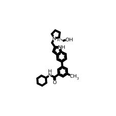 Cc1cc(C(=O)NC2CCCCC2)cc(-c2ccc3[nH]c(CN4CCC[C@@H]4CO)cc3c2)c1